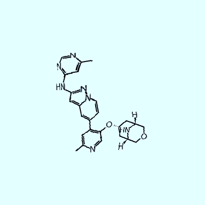 Cc1cc(Nc2cc3cc(-c4cc(C)ncc4O[C@H]4C[C@H]5COC[C@@H](C4)N5)ccn3n2)ncn1